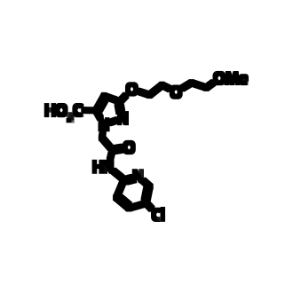 COCCOCCOc1cc(C(=O)O)n(CC(=O)Nc2ccc(Cl)cn2)n1